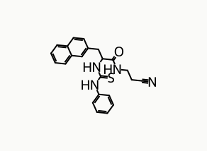 N#CCCNC(=O)C(Cc1ccc2ccccc2c1)NC(=S)Nc1ccccc1